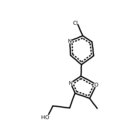 Cc1oc(-c2ccc(Cl)nc2)nc1CCO